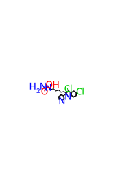 NC(=O)N(O)CCCCCCC1(c2cccnc2)N=c2ccc(Cl)cc2=C1Cl